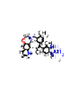 CCC(c1ccc(C)c(CN2CCOc3cc4cccnc4cc3C2)c1)c1ccc(N(C)N)c(N)c1C